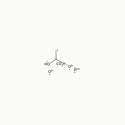 CC(O)C(=O)O.[O-2].[O-2].[Zr+4]